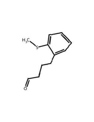 CSc1ccccc1CCCC=O